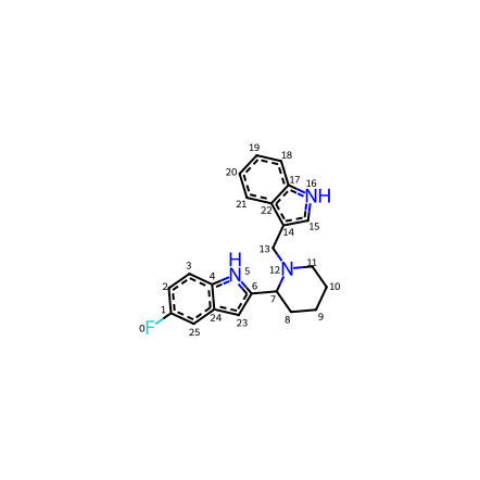 Fc1ccc2[nH]c(C3CCCCN3Cc3c[nH]c4ccccc34)cc2c1